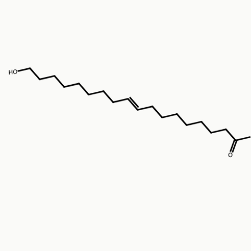 CC(=O)CCCCCCC/C=C/CCCCCCCCO